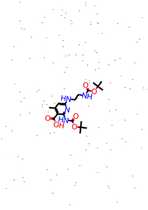 Cc1cc(NCCNC(=O)OC(C)(C)C)nc(NC(=O)OC(C)(C)C)c1C(=O)O